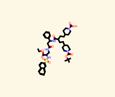 CCOC(=O)C(CNC(=O)CC(NC(=O)C(CCC1CCN(C(=O)O)CC1)CCC1CCN(C(=O)OC(C)(C)C)CC1)c1ccccc1)NS(=O)(=O)c1ccc2ccccc2c1